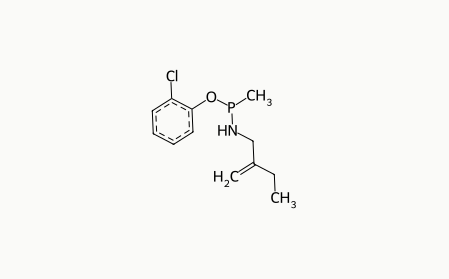 C=C(CC)CNP(C)Oc1ccccc1Cl